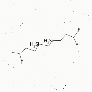 FC(F)CC[SiH2]C[SiH2]CCC(F)F